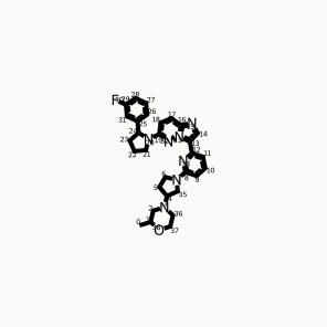 CC1CN(C2CCN(c3cccc(-c4cnc5ccc(N6CCCC6c6cccc(F)c6)nn45)n3)C2)CCO1